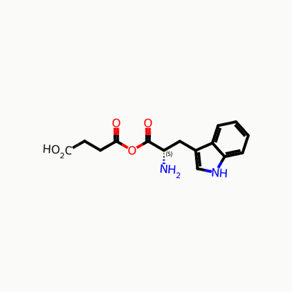 N[C@@H](Cc1c[nH]c2ccccc12)C(=O)OC(=O)CCC(=O)O